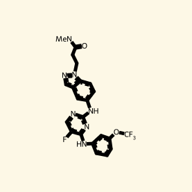 CNC(=O)CCn1ncc2cc(Nc3ncc(F)c(Nc4cccc(OC(F)(F)F)c4)n3)ccc21